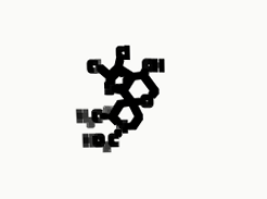 C[C@H]1CC2(CCN1C(=O)O)OCC(O)c1c2sc(Cl)c1Cl